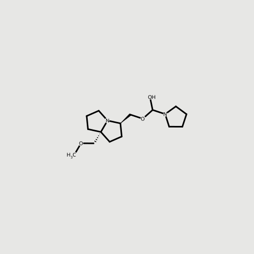 COC[C@]12CCCN1[C@@H](COC(O)N1CCCC1)CC2